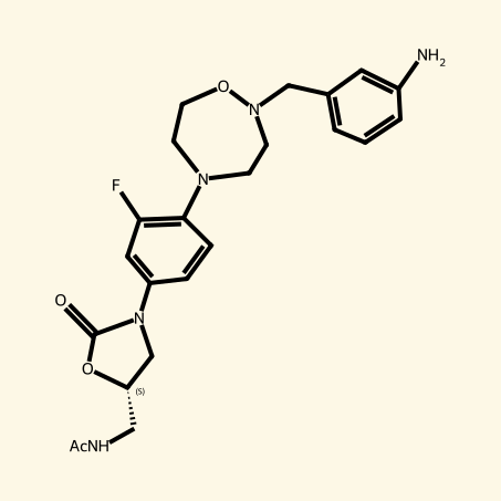 CC(=O)NC[C@H]1CN(c2ccc(N3CCON(Cc4cccc(N)c4)CC3)c(F)c2)C(=O)O1